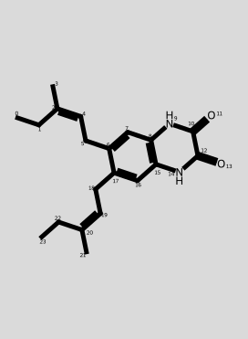 CCC(C)=CCc1cc2[nH]c(=O)c(=O)[nH]c2cc1CC=C(C)CC